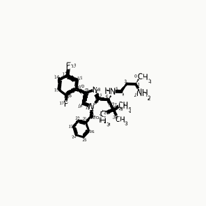 C[C@H](N)CCN[C@@H](c1nc(-c2cc(F)ccc2F)cn1Cc1ccccc1)C(C)(C)C